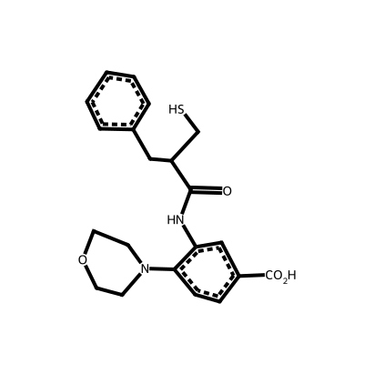 O=C(O)c1ccc(N2CCOCC2)c(NC(=O)C(CS)Cc2ccccc2)c1